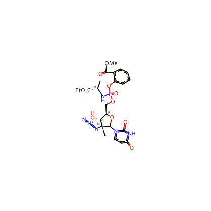 CCOC(=O)[C@H](C)NP(=O)(OC[C@H]1OC(n2ccc(=O)[nH]c2=O)[C@](C)(N=[N+]=[N-])[C@@H]1O)Oc1ccccc1C(=O)OC